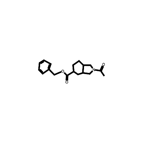 CC(=O)N1CC2CCC(C(=O)OCc3ccccc3)CC2C1